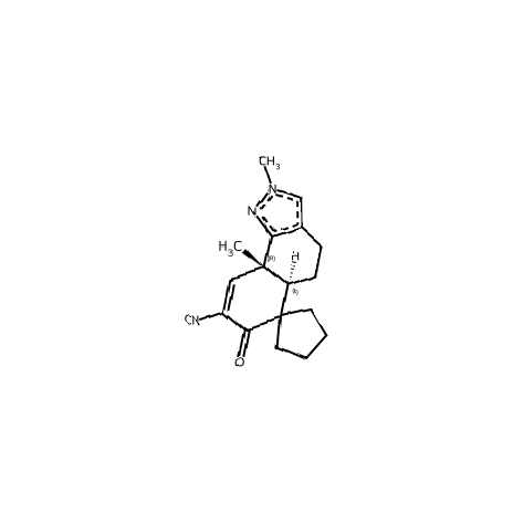 [C-]#[N+]C1=C[C@]2(C)c3nn(C)cc3CC[C@H]2C2(CCCC2)C1=O